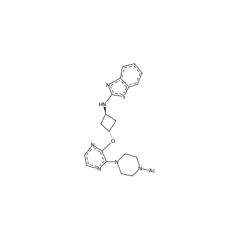 CC(=O)N1CCN(c2nccnc2O[C@H]2C[C@H](Nc3nc4ccccc4s3)C2)CC1